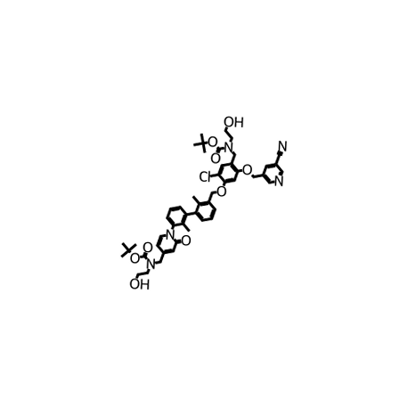 Cc1c(COc2cc(OCc3cncc(C#N)c3)c(CN(CCO)C(=O)OC(C)(C)C)cc2Cl)cccc1-c1cccc(-n2ccc(CN(CCO)C(=O)OC(C)(C)C)cc2=O)c1C